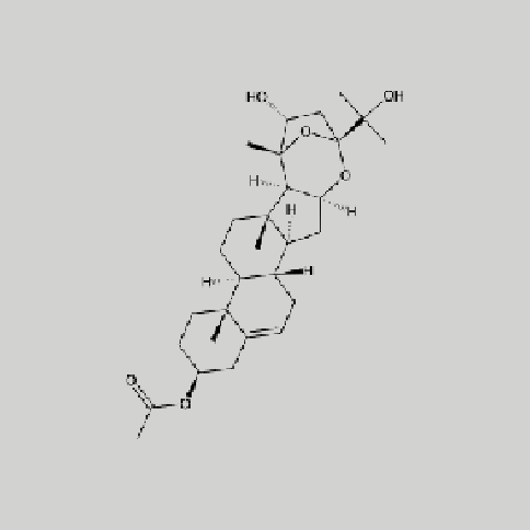 CC(=O)O[C@H]1CC[C@@]2(C)C(=CC[C@H]3[C@@H]4C[C@@H]5O[C@@]6(C(C)(C)O)C[C@@H](O)[C@](C)(O6)[C@@H]5[C@@]4(C)CC[C@@H]32)C1